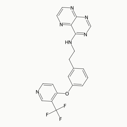 FC(F)(F)c1cnccc1Oc1cccc(CCNc2ncnc3nccnc23)c1